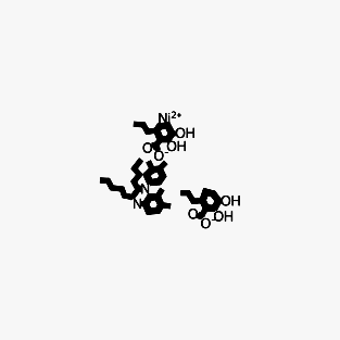 CCCCCC(=Nc1ccc(C)c(C)c1)C(CCCC)=Nc1ccc(C)c(C)c1.CCCc1ccc(O)c(O)c1C(=O)[O-].CCCc1ccc(O)c(O)c1C(=O)[O-].[Ni+2]